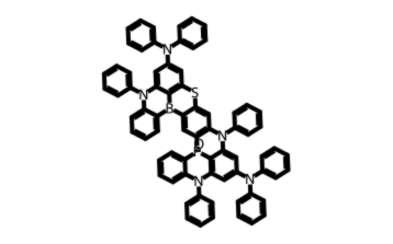 O=P12c3ccccc3N(c3ccccc3)c3cc(N(c4ccccc4)c4ccccc4)cc(c31)N(c1ccccc1)c1cc3c(cc12)B1c2ccccc2N(c2ccccc2)c2cc(N(c4ccccc4)c4ccccc4)cc(c21)S3